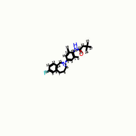 Cc1cc(N2CCCc3cc(F)ccc3C2)cc(C)c1NC(=O)CC(C)(C)C